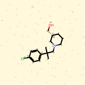 CC(C)(CN1CCC[C@@H](CO)C1)c1ccc(Cl)cc1